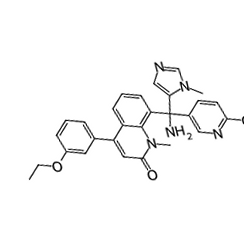 CCOc1cccc(-c2cc(=O)n(C)c3c(C(N)(c4ccc(Cl)nc4)c4cncn4C)cccc23)c1